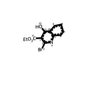 CCOC(=O)c1c(Br)nc2ccccc2c1O